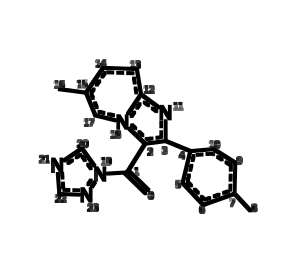 C=C(c1c(-c2ccc(C)cc2)nc2ccc(C)cn12)n1cncn1